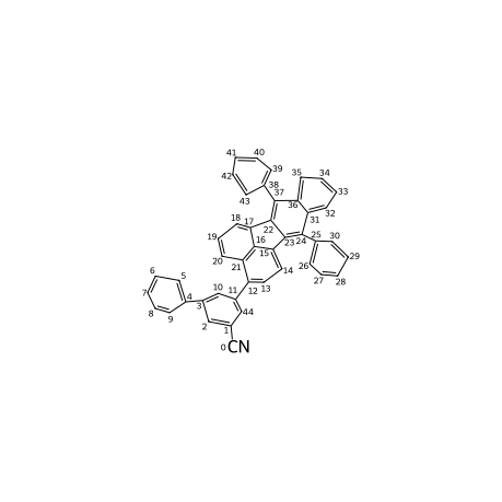 N#Cc1cc(-c2ccccc2)cc(-c2ccc3c4c(cccc24)-c2c-3c(-c3ccccc3)c3ccccc3c2-c2ccccc2)c1